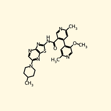 COc1cnc(C)cc1-c1cc(C)ncc1C(=O)Nc1nc2ncc(N3CCC(C)CC3)nc2s1